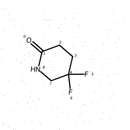 O=C1CCC(F)(F)CN1